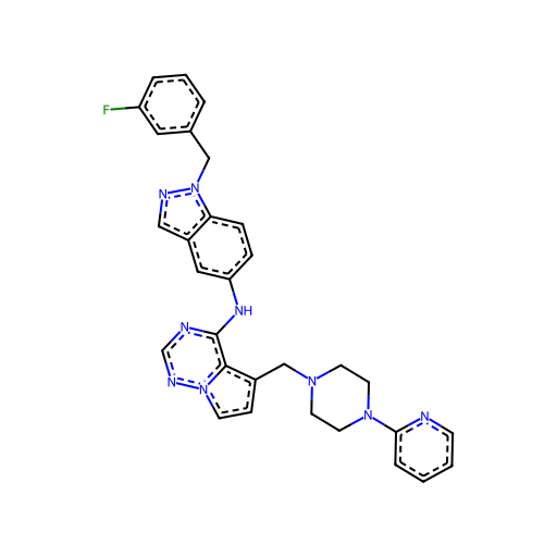 Fc1cccc(Cn2ncc3cc(Nc4ncnn5ccc(CN6CCN(c7ccccn7)CC6)c45)ccc32)c1